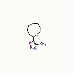 CC1=C(C2CCCCCCCC2)P=P[N]1